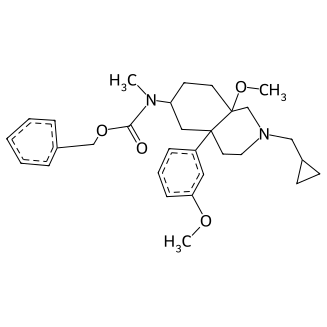 COc1cccc(C23CCN(CC4CC4)CC2(OC)CCC(N(C)C(=O)OCc2ccccc2)C3)c1